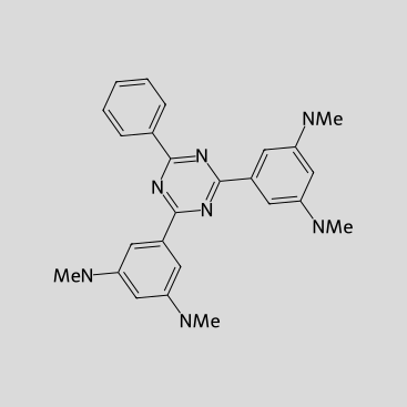 CNc1cc(NC)cc(-c2nc(-c3ccccc3)nc(-c3cc(NC)cc(NC)c3)n2)c1